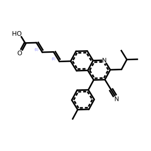 Cc1ccc(-c2c(C#N)c(CC(C)C)nc3ccc(/C=C/C=C/C(=O)O)cc23)cc1